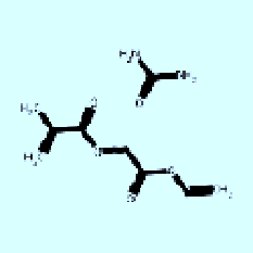 C=COC(=O)COC(=O)C(=C)C.NC(N)=O